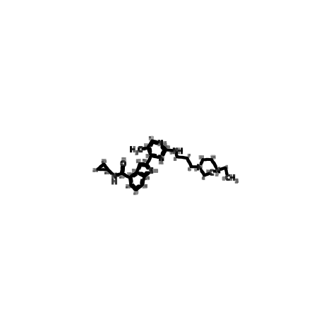 CCN1CCN(CCCNc2ncc(C)c(-c3cc4c(C(=O)NC5CC5)cccc4s3)n2)CC1